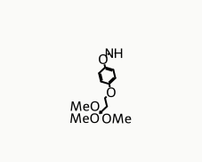 COC(CCOc1ccc(O[NH])cc1)(OC)OC